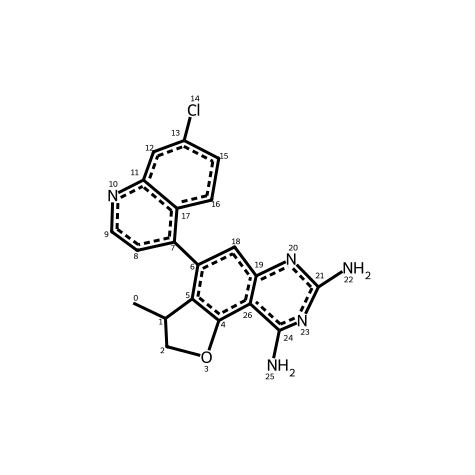 CC1COc2c1c(-c1ccnc3cc(Cl)ccc13)cc1nc(N)nc(N)c21